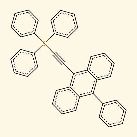 C(#CS(c1ccccc1)(c1ccccc1)c1ccccc1)c1c2ccccc2c(-c2ccccc2)c2ccccc12